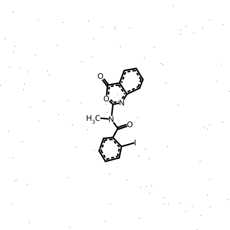 CN(C(=O)c1ccccc1I)c1nc2ccccc2c(=O)o1